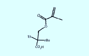 C=C(C)C(=O)OCC(CC)(CCCC)C(=O)O